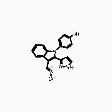 O/N=C/c1c(-c2cc[nH]n2)n(-c2ccc(O)cc2)c2ccccc12